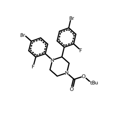 CC(C)(C)OC(=O)N1CCN(c2ccc(Br)cc2F)C(c2ccc(Br)cc2F)C1